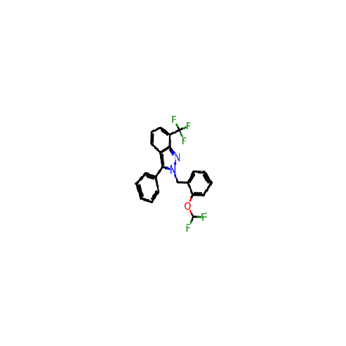 FC(F)Oc1ccccc1Cn1nc2c(C(F)(F)F)cccc2c1-c1ccccc1